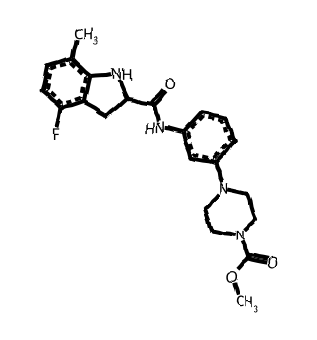 COC(=O)N1CCN(c2cccc(NC(=O)C3Cc4c(F)ccc(C)c4N3)c2)CC1